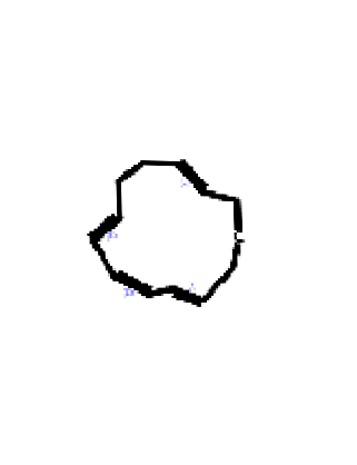 C1=C\C=C\CCC/C=C/CC/C=C/1